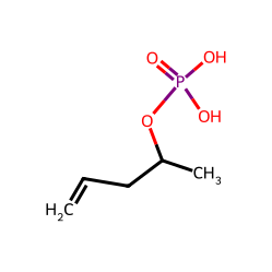 C=CCC(C)OP(=O)(O)O